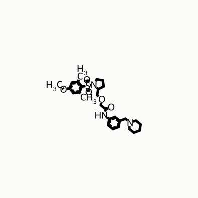 COc1cc(C)c(S(=O)(=O)N2CCCC2COCC(=O)Nc2cccc(CN3CCCCC3)c2)c(C)c1